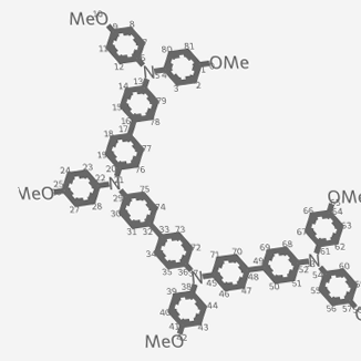 COc1ccc(N(c2ccc(OC)cc2)c2ccc(-c3ccc(N(c4ccc(OC)cc4)c4ccc(-c5ccc(N(c6ccc(OC)cc6)c6ccc(-c7ccc(N(c8ccc(OC)cc8)c8ccc(OC)cc8)cc7)cc6)cc5)cc4)cc3)cc2)cc1